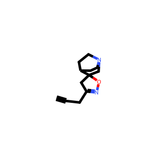 C#CCC1=NOC2(C1)CN1CCC2CC1